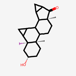 C[C@]12CCC3C(C4CC4[C@]4(I)C[C@@H](O)CC[C@]34C)C1C1CC1C2=O